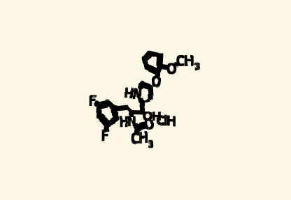 COc1ccccc1O[C@H]1CN[C@@H]([C@H](O)[C@H](Cc2cc(F)cc(F)c2)NC(C)=O)C1.Cl